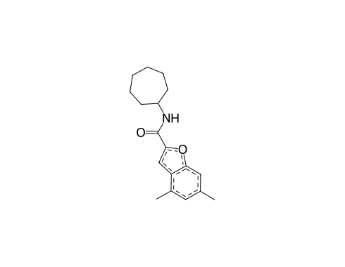 Cc1cc(C)c2cc(C(=O)NC3CCCCCC3)oc2c1